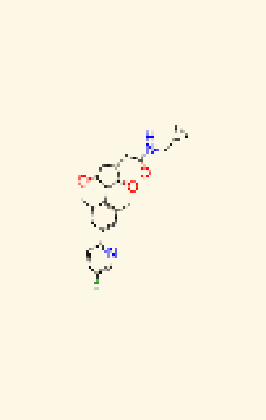 Cc1cc(-c2ccc(F)cn2)cc(C)c1C1C(=O)CC(CC(=O)NCC2CC2)C1=O